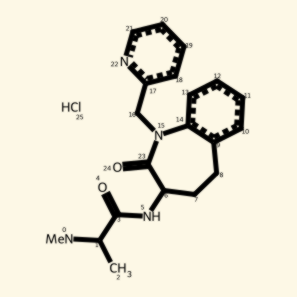 CNC(C)C(=O)NC1CCc2ccccc2N(Cc2ccccn2)C1=O.Cl